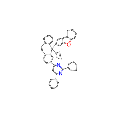 C1=Cc2ccc(-c3cc(-c4ccccc4)nc(-c4ccccc4)n3)cc2C2(c3ccccc31)c1ccccc1-c1c2ccc2c1oc1ccccc12